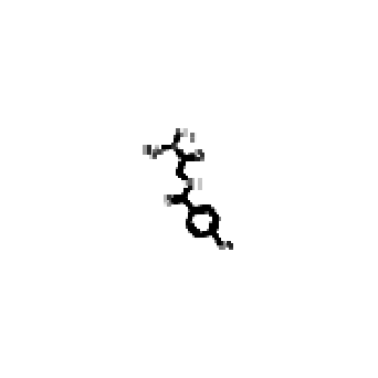 CC(C)c1ccc(C(=O)NCC(=O)N(C)C)cc1